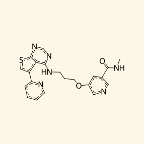 CNC(=O)c1cncc(OCCCNc2ncnc3scc(-c4ccccn4)c23)c1